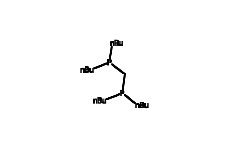 CCCCP(CCCC)CP(CCCC)CCCC